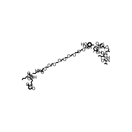 CCCCNC(=O)[C@H](CCCCNC(=O)COCCOCCOCCOCCOCCOCCOCCOCCOC(=O)Nc1cc(C[C@@H](C[C@H](C)C(=O)O)NC(=O)c2csc([C@@H](C[C@H](C(C)C)N(C)C(=O)[C@@H](NC(=O)[C@H](C(C)C)N(C)C)[C@@H](C)CC)OC)n2)ccc1O)NC(=O)CCCN1C(=O)C=CC1=O